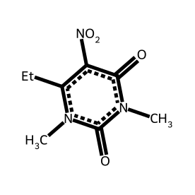 CCc1c([N+](=O)[O-])c(=O)n(C)c(=O)n1C